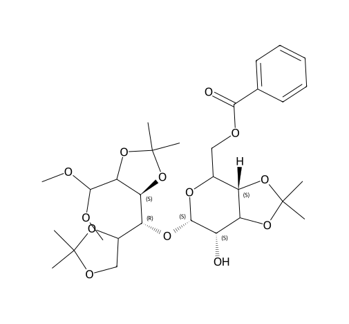 COC(OC)C1OC(C)(C)O[C@H]1[C@H](O[C@@H]1OC(COC(=O)c2ccccc2)[C@@H]2OC(C)(C)OC2[C@@H]1O)C1COC(C)(C)O1